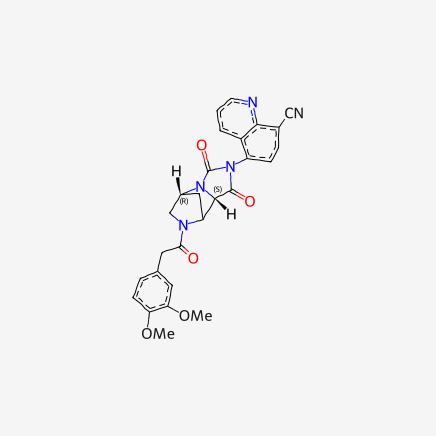 COc1ccc(CC(=O)N2C[C@H]3CC2[C@H]2C(=O)N(c4ccc(C#N)c5ncccc45)C(=O)N32)cc1OC